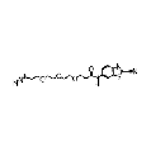 N#Cc1nc2ccc(NC(=O)CCOCCOCCOCCN=[N+]=[N-])cc2s1